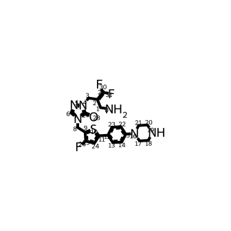 NCC(Cn1ncn(Cc2sc(-c3ccc(N4CCNCC4)cc3)cc2F)c1=O)=C(F)F